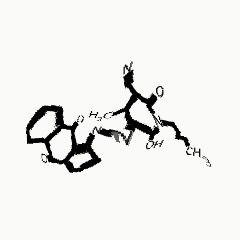 CCCCn1c(O)c(/N=N/c2cccc3c2C(=O)c2ccccc2C3=O)c(C)c(C#N)c1=O